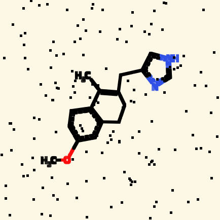 COc1ccc2c(c1)CCC(Cc1c[nH]cn1)=C2C